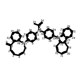 C=C1/C=C\C=C/CN(c2ccc(N(C(=C)C)c3ccc(-n4c5c(c6ccccc64)CC=CC=C5)cc3)cc2)c2ccccc21